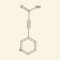 O=C(O)C#Cc1cccnc1